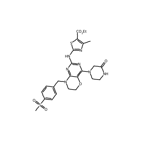 CCOC(=O)c1sc(Nc2nc(N3CCNC(=O)C3)c3c(n2)N(Cc2ccc(S(C)(=O)=O)cc2)CCO3)nc1C